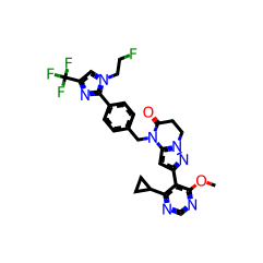 COc1ncnc(C2CC2)c1-c1cc2n(n1)CCC(=O)N2Cc1ccc(-c2nc(C(F)(F)F)cn2CCF)cc1